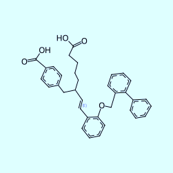 O=C(O)CCCCC(/C=C/c1ccccc1OCc1ccccc1-c1ccccc1)Cc1ccc(C(=O)O)cc1